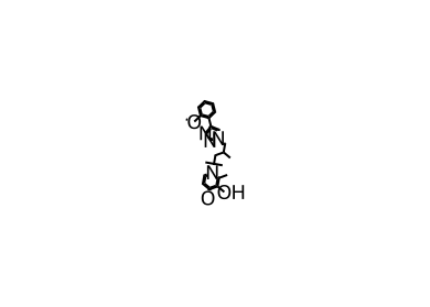 COc1ccccc1-c1cn(CC(C)CC(C)(C)n2ccc(=O)c(O)c2C)nn1